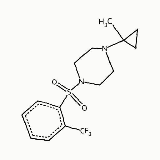 CC1(N2CCN(S(=O)(=O)c3ccccc3C(F)(F)F)CC2)CC1